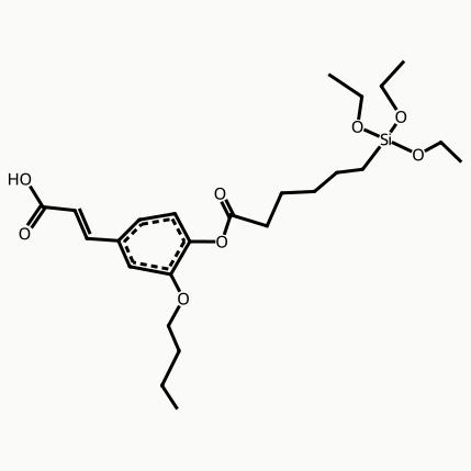 CCCCOc1cc(C=CC(=O)O)ccc1OC(=O)CCCCC[Si](OCC)(OCC)OCC